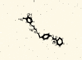 O=P(O)(COc1ccc(CCNC[C@H](O)COc2ccc(O)c(CO)c2)cc1)C1CCCCC1